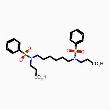 O=C(O)CCN(CCCCCCN(CCC(=O)O)S(=O)(=O)c1ccccc1)S(=O)(=O)c1ccccc1